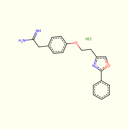 Cl.N=C(N)Cc1ccc(OCCc2coc(-c3ccccc3)n2)cc1